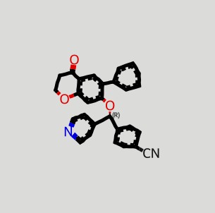 N#Cc1ccc([C@@H](Oc2cc3c(cc2-c2ccccc2)C(=O)CCO3)c2ccncc2)cc1